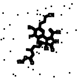 C=C(CC)C1=C(c2cc(CCCC#N)c(Br)c(F)c2CCC)C(CC)(CCCC(C)CC(=O)OC(C)(C)C)C(=O)N1